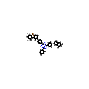 c1ccc(-c2nc(-c3ccc(-c4ccc5ccccc5c4)cc3)nc(-c3ccc(-c4ccc5sc6ccccc6c5c4)cc3)n2)cc1